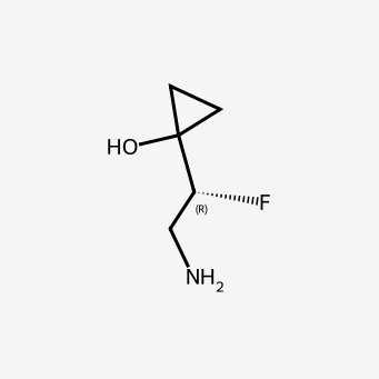 NC[C@@H](F)C1(O)CC1